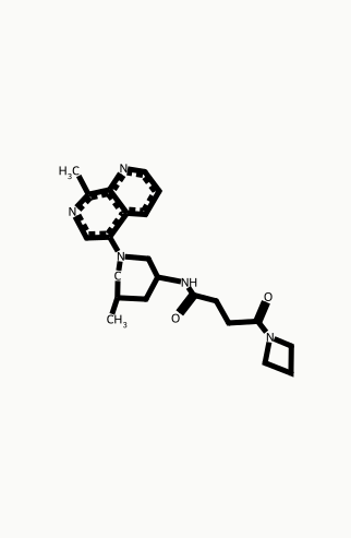 Cc1ncc(N2CC(C)CC(NC(=O)CCC(=O)N3CCC3)C2)c2cccnc12